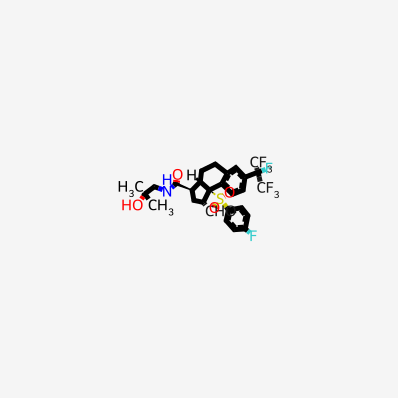 CC(C)(O)CNC(=O)[C@@H]1CC(C=O)[C@]2(S(=O)(=O)c3ccc(F)cc3)c3ccc(C(F)(C(F)(F)F)C(F)(F)F)cc3CC[C@@H]12